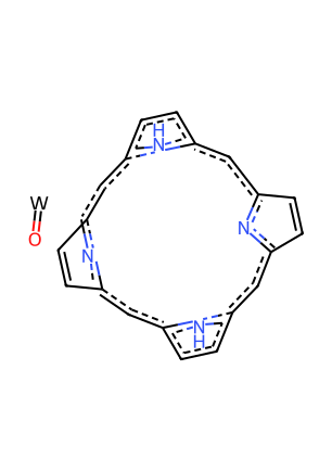 C1=Cc2cc3ccc(cc4nc(cc5ccc(cc1n2)[nH]5)C=C4)[nH]3.[O]=[W]